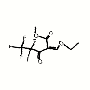 CCOC=C(C(=O)OC)C(=O)C(F)(F)C(F)(F)F